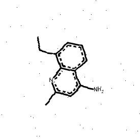 CCc1cccc2c(N)cc(C)nc12